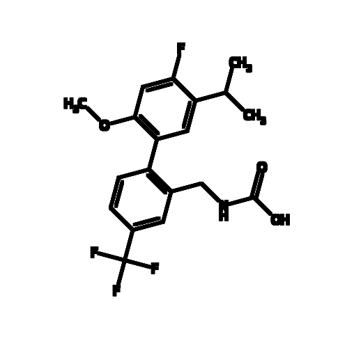 COc1cc(F)c(C(C)C)cc1-c1ccc(C(F)(F)F)cc1CNC(=O)O